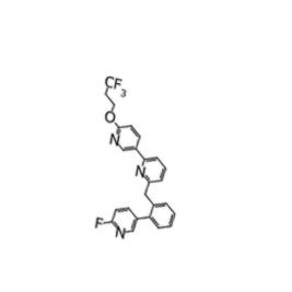 Fc1ccc(-c2ccccc2Cc2cccc(-c3ccc(OCCC(F)(F)F)nc3)n2)cn1